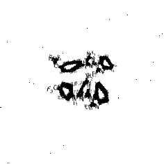 CCc1nc2ccccc2n1-c1nc(N)cc(Nc2ccc(C(F)(F)F)cc2)n1.CCc1nc2ccccc2n1-c1nc(N)cc(Nc2ccc(OC(F)F)cc2)n1